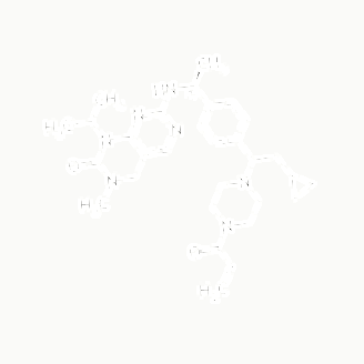 C=CC(=O)N1CCN(C(CC2CC2)c2ccc([C@H](C)Nc3ncc4c(n3)N(C(C)C)C(=O)N(C)C4)cc2)CC1